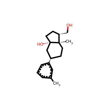 Cc1cccc([C@H]2CC[C@]3(C)[C@@H](CO)CC[C@]3(O)C2)c1